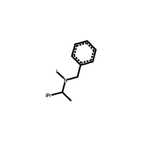 CC(C)C(C)N(I)Cc1ccccc1